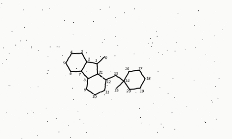 CC1C2CCCCC2C2CCCC(CC3(C)CCCCC3)C12